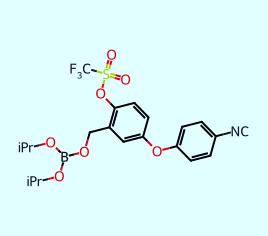 [C-]#[N+]c1ccc(Oc2ccc(OS(=O)(=O)C(F)(F)F)c(COB(OC(C)C)OC(C)C)c2)cc1